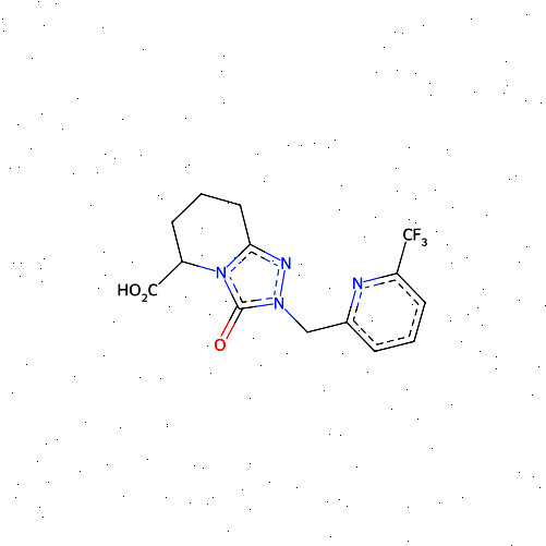 O=C(O)C1CCCc2nn(Cc3cccc(C(F)(F)F)n3)c(=O)n21